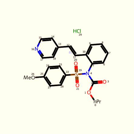 CCCOC(=O)N(c1ccccc1/C=C/c1ccncc1)S(=O)(=O)c1ccc(OC)cc1.Cl